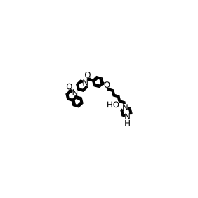 O=C(c1ccc(OCCCCC(O)CN2CCNCC2)cc1)N1CCC(N2C(=O)CCc3ccccc32)CC1